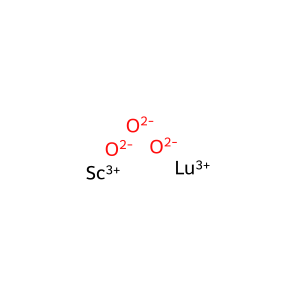 [Lu+3].[O-2].[O-2].[O-2].[Sc+3]